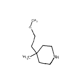 COCCC1(C)CCNCC1